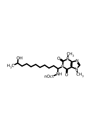 CCCCCCCCNC(CCCCCCCCC(C)O)n1c(=O)c2c(ncn2C)n(C)c1=O